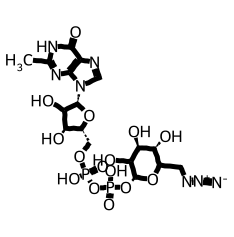 Cc1nc2c(ncn2[C@@H]2O[C@H](COP(=O)(O)OP(=O)(O)O[C@H]3OC(CN=[N+]=[N-])[C@@H](O)[C@H](O)C3O)[C@H](O)C2O)c(=O)[nH]1